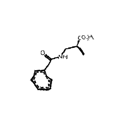 C[C@@H](CNC(=O)c1ccccc1)C(=O)O